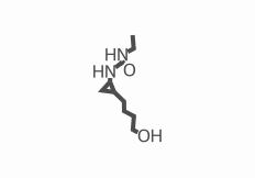 CCNC(=O)NC1CC1CCCCO